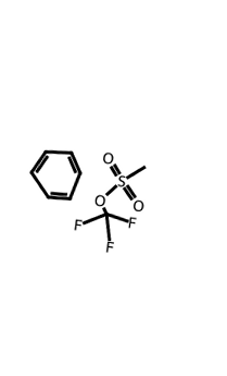 CS(=O)(=O)OC(F)(F)F.c1ccccc1